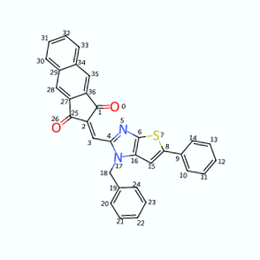 O=C1C(=Cc2nc3sc(-c4ccccc4)cc3n2Cc2ccccc2)C(=O)c2cc3ccccc3cc21